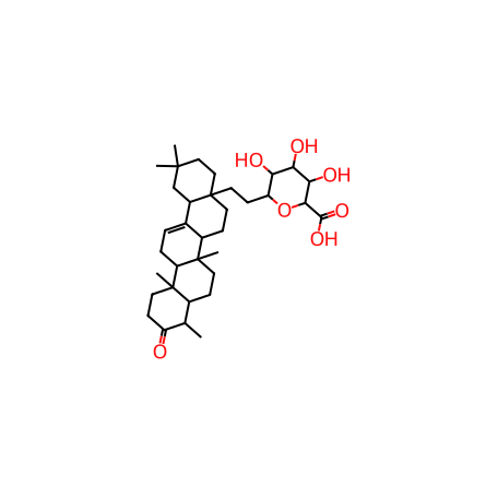 CC1C(=O)CCC2(C)C1CCC1(C)C3CCC4(CCC5OC(C(=O)O)C(O)C(O)C5O)CCC(C)(C)CC4C3=CCC12